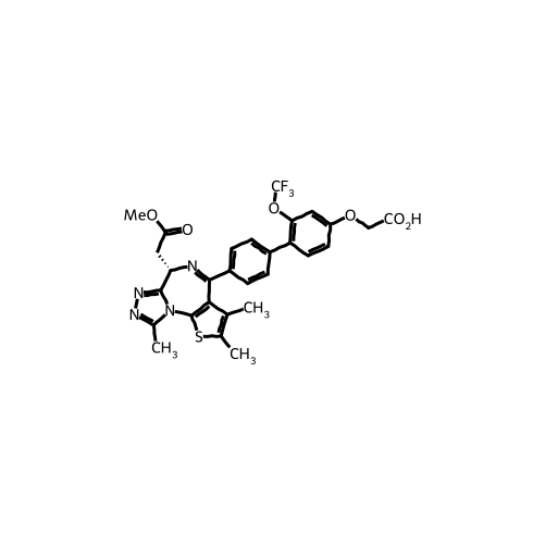 COC(=O)C[C@@H]1N=C(c2ccc(-c3ccc(OCC(=O)O)cc3OC(F)(F)F)cc2)c2c(sc(C)c2C)-n2c(C)nnc21